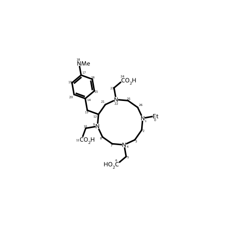 CCN1CCN(CC(=O)O)CCN(CC(=O)O)C(Cc2ccc(NC)cc2)CN(CC(=O)O)CC1